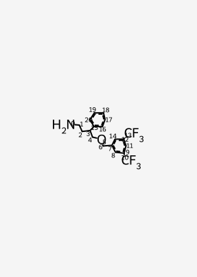 NCCC(COCc1cc(C(F)(F)F)cc(C(F)(F)F)c1)c1ccccc1